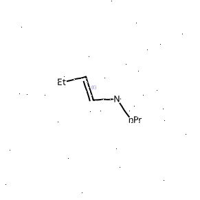 CC/C=C/[N]CCC